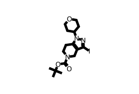 CC(C)(C)OC(=O)N1CCc2c(c(I)nn2C2CCOCC2)C1